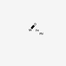 [Fe].[O]=[W].[Pb]